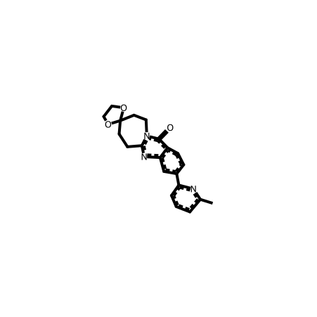 Cc1cccc(-c2ccc3c(=O)n4c(nc3c2)CCC2(CC4)OCCO2)n1